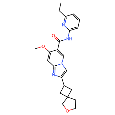 CCc1cccc(NC(=O)c2cn3cc(C4CC5(CCOC5)C4)nc3cc2OC)n1